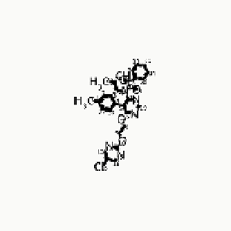 Cc1ccc(-c2c(OCCOc3ncc(Cl)cn3)ncnc2N(CC(C)C)S(=O)(=O)c2ccccc2)cc1